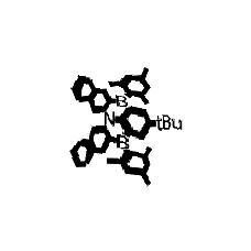 Cc1cc(C)c(B2c3cc4c(cc3N3c5cc6c(cc5B(c5c(C)cc(C)cc5C)c5cc(C(C)(C)C)cc2c53)C2CCC6CC2)C2CCC4CC2)c(C)c1